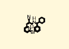 N#CC(=Cc1cccc(Br)n1)C(=O)NC(c1ccccc1)C1CCCCC1